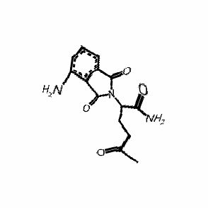 CC(=O)CCC(C(N)=O)N1C(=O)c2cccc(N)c2C1=O